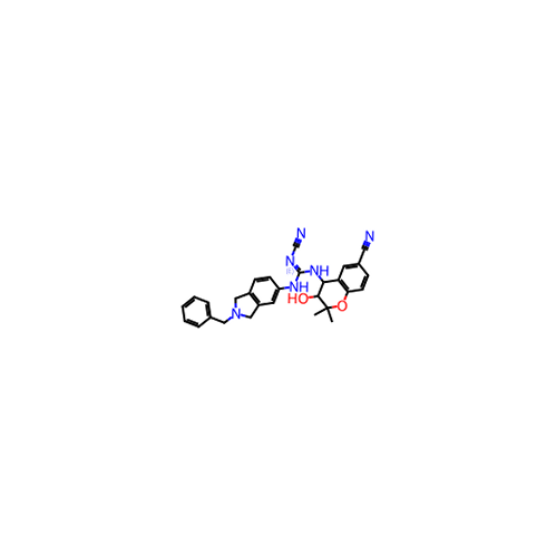 CC1(C)Oc2ccc(C#N)cc2C(N/C(=N\C#N)Nc2ccc3c(c2)CN(Cc2ccccc2)C3)C1O